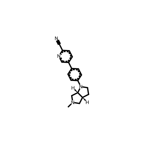 CN1C[C@H]2CCN(c3ccc(-c4ccc(C#N)nc4)cc3)[C@H]2C1